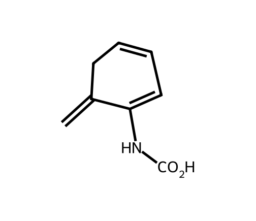 C=C1CC=CC=C1NC(=O)O